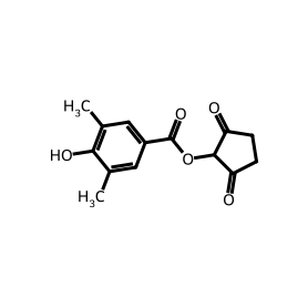 Cc1cc(C(=O)OC2C(=O)CCC2=O)cc(C)c1O